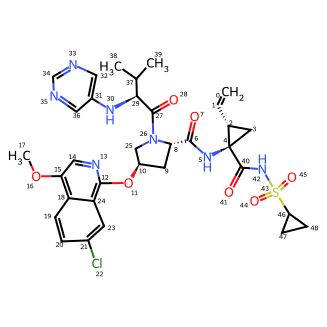 C=C[C@@H]1C[C@]1(NC(=O)[C@@H]1C[C@@H](Oc2ncc(OC)c3ccc(Cl)cc23)CN1C(=O)[C@@H](Nc1cncnc1)C(C)C)C(=O)NS(=O)(=O)C1CC1